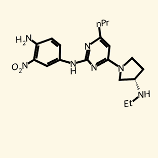 CCCc1cc(N2CC[C@H](NCC)C2)nc(Nc2ccc(N)c([N+](=O)[O-])c2)n1